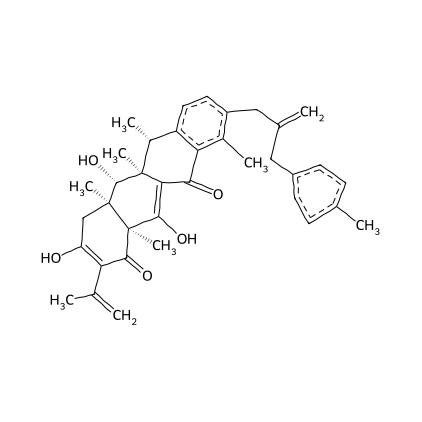 C=C(Cc1ccc(C)cc1)Cc1ccc2c(c1C)C(=O)C1=C(O)[C@@]3(C)C(=O)C(C(=C)C)=C(O)C[C@@]3(C)[C@H](O)[C@@]1(C)[C@@H]2C